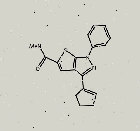 CNC(=O)c1cc2c(C3=CCCC3)nn(-c3ccccc3)c2s1